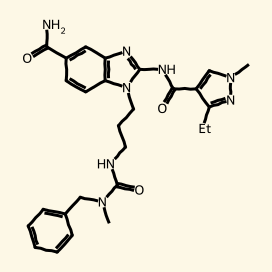 CCc1nn(C)cc1C(=O)Nc1nc2cc(C(N)=O)ccc2n1CCCNC(=O)N(C)Cc1ccccc1